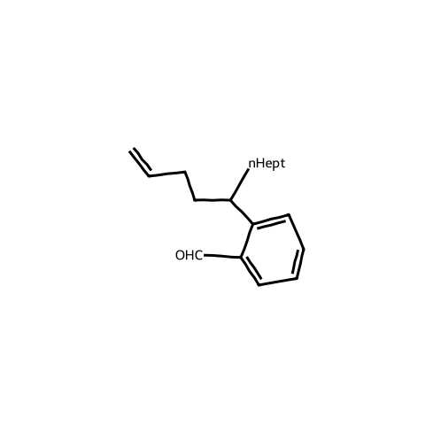 C=CCCC(CCCCCCC)c1ccccc1C=O